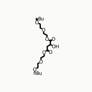 CCCCOCCOCCOC(=O)CC(O)C(=O)OCCOCCOCCCC